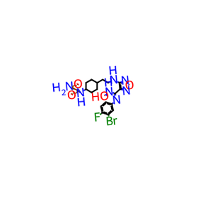 NS(=O)(=O)NC1CCC(CCNc2nonc2C(=Nc2ccc(F)c(Br)c2)NO)CC1